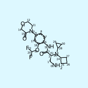 NC[C@@H](C(=O)Nc1ccc(N2CCOCC2=O)cc1OC(F)F)N(C1CCC1)C1CC1